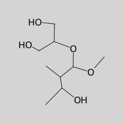 COC(OC(CO)CO)C(C)C(C)O